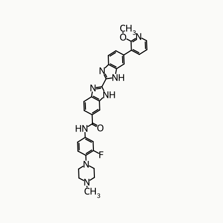 COc1ncccc1-c1ccc2nc(-c3nc4ccc(C(=O)Nc5ccc(N6CCN(C)CC6)c(F)c5)cc4[nH]3)[nH]c2c1